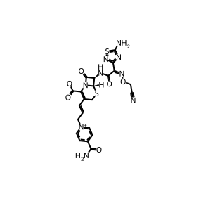 N#CCO/N=C(\C(=O)N[C@@H]1C(=O)N2C(C(=O)[O-])=C(/C=C/C[n+]3ccc(C(N)=O)cc3)CS[C@@H]12)c1nsc(N)n1